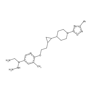 Cc1cc(N(CN)NN)cnc1OCCC1CC1C1CCN(c2nc(C(C)C)no2)CC1